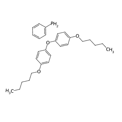 CCCCCOc1ccc(Oc2ccc(OCCCCC)cc2)cc1.Pc1ccccc1